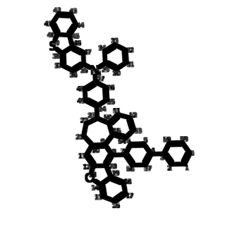 c1ccc(-c2ccc(-c3c4c(cc5oc6ccccc6c35)CCC(c3ccc(N(c5ccccc5)c5ccc6sc7ccccc7c6c5)cc3)c3ccccc3-4)cc2)cc1